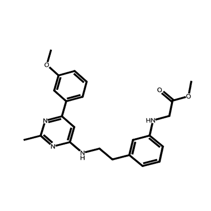 COC(=O)CNc1cccc(CCNc2cc(-c3cccc(OC)c3)nc(C)n2)c1